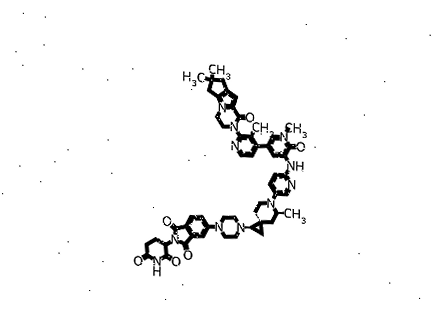 Cc1c(-c2cc(Nc3ccc(N4CC[C@]5(C[C@@H]4C)C[C@H]5N4CCN(c5ccc6c(c5)C(=O)N(C5CCC(=O)NC5=O)C6=O)CC4)cn3)c(=O)n(C)c2)ccnc1N1CCn2c(cc3c2CC(C)(C)C3)C1=O